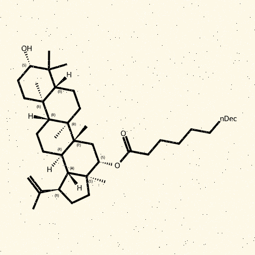 C=C(C)[C@@H]1CC[C@@]2(C)[C@H]1[C@H]1CC[C@@H]3[C@@]4(C)CC[C@H](O)C(C)(C)[C@@H]4CC[C@@]3(C)[C@]1(C)C[C@@H]2OC(=O)CCCCCCCCCCCCCCC